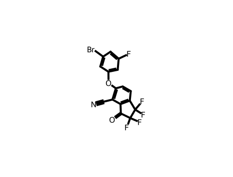 N#Cc1c(Oc2cc(F)cc(Br)c2)ccc2c1C(=O)C(F)(F)C2(F)F